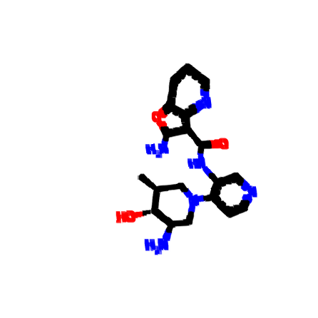 C[C@H]1CN(c2ccncc2NC(=O)c2c(N)oc3cccnc23)C[C@@H](N)[C@@H]1O